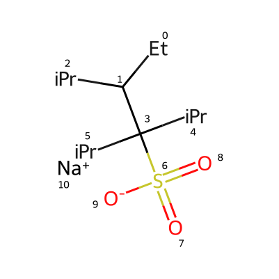 CCC(C(C)C)C(C(C)C)(C(C)C)S(=O)(=O)[O-].[Na+]